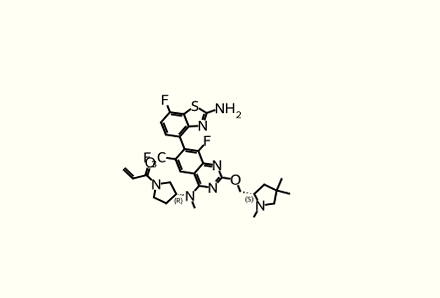 C=CC(=O)N1CC[C@@H](N(C)c2nc(OC[C@@H]3CC(C)(C)CN3C)nc3c(F)c(-c4ccc(F)c5sc(N)nc45)c(C(F)(F)F)cc23)C1